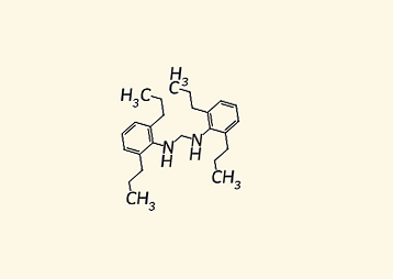 CCCc1cccc(CCC)c1NCNc1c(CCC)cccc1CCC